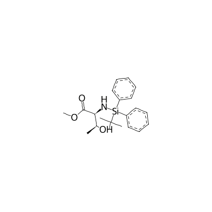 COC(=O)[C@@H](N[Si](c1ccccc1)(c1ccccc1)C(C)(C)C)[C@H](C)O